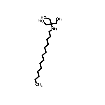 CCCCCCCCCCCCCCNC(CO)(CO)CO